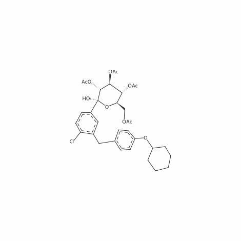 CC(=O)OC[C@H]1O[C@@](O)(c2ccc(Cl)c(Cc3ccc(OC4CCCCC4)cc3)c2)[C@H](OC(C)=O)[C@@H](OC(C)=O)[C@@H]1OC(C)=O